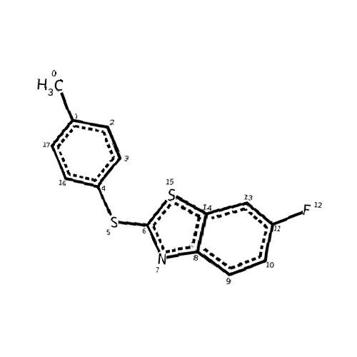 Cc1ccc(Sc2nc3ccc(F)cc3s2)cc1